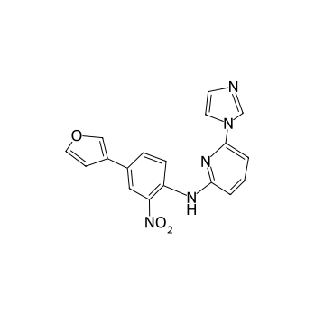 O=[N+]([O-])c1cc(-c2ccoc2)ccc1Nc1cccc(-n2ccnc2)n1